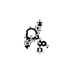 COc1ccc2c(O[C@@H]3C[C@H]4C(=O)N[C@]5(C(=O)NS(=O)(=O)C6(C)CC6)C[C@H]5/C=C/CC[C@@H](C)C[C@@H](C)[C@H](NC(=O)OC(C)(C)C(F)(F)F)C(=O)N4C3)ncc(N3C[C@@H](C)O[C@@H](C)C3)c2c1